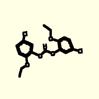 CCOc1ccc(Cl)cc1OBOc1cc(Cl)ccc1OCC